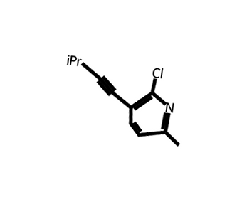 Cc1ccc(C#CC(C)C)c(Cl)n1